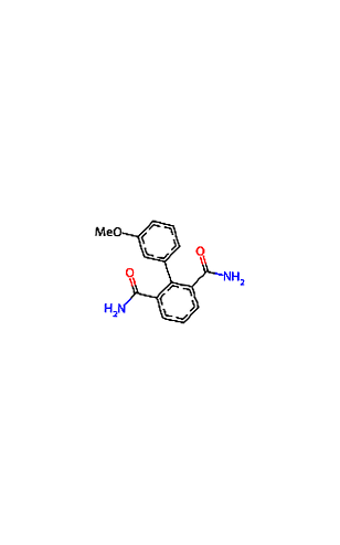 COc1cccc(-c2c(C(N)=O)cccc2C(N)=O)c1